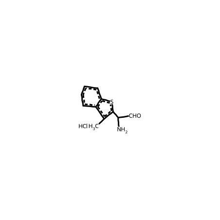 Cc1c(C(N)C=O)sc2ccccc12.Cl